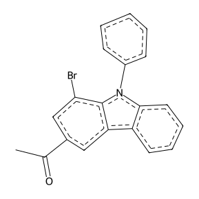 CC(=O)c1cc(Br)c2c(c1)c1ccccc1n2-c1ccccc1